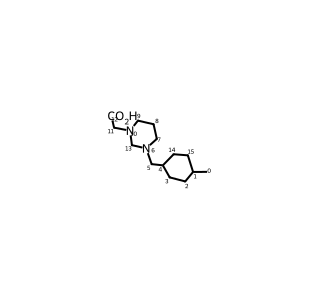 CC1CCC(CN2CCCN(CC(=O)O)C2)CC1